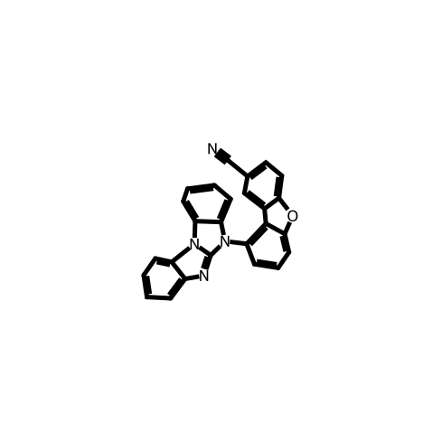 N#Cc1ccc2oc3cccc(-n4c5ccccc5n5c6ccccc6nc45)c3c2c1